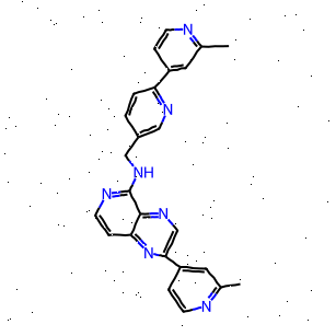 Cc1cc(-c2ccc(CNc3nccc4nc(-c5ccnc(C)c5)cnc34)cn2)ccn1